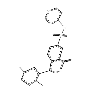 Cc1ccc(Cl)cc1-c1n[nH]c(=O)c2cc(S(=O)(=O)Nc3ccncn3)ccc12